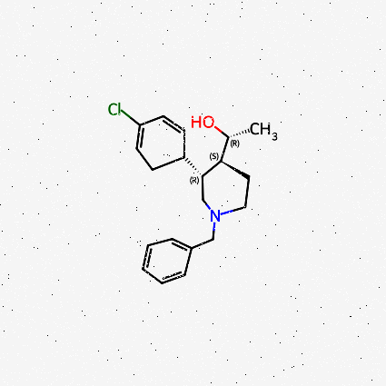 C[C@@H](O)[C@H]1CCN(Cc2ccccc2)C[C@@H]1C1C=CC(Cl)=CC1